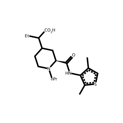 CCCN1CCC(C(CC)C(=O)O)C[C@H]1C(=O)Nc1c(C)csc1C